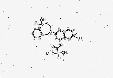 COC(C)(C)C(=O)Nc1cc(N2CCS(O)(O)c3ccccc3C2)nc2ccc(C)cc12